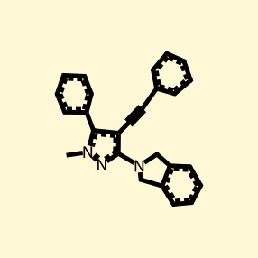 Cn1nc(N2Cc3ccccc3C2)c(C#Cc2ccccc2)c1-c1ccccc1